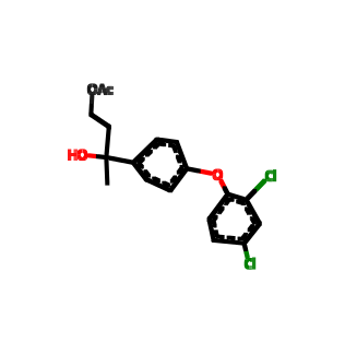 CC(=O)OCCC(C)(O)c1ccc(Oc2ccc(Cl)cc2Cl)cc1